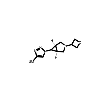 CC(C)(C)c1cn(C2[C@H]3CN(C4COC4)C[C@@H]23)nn1